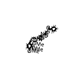 COc1ccc(CN2CCN([n+]3cc([N-]C(=O)CSC(=O)c4ccccc4)on3)CC2)c(OC)c1OC